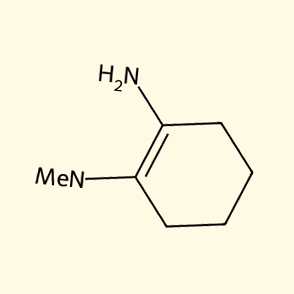 CNC1=C(N)CCCC1